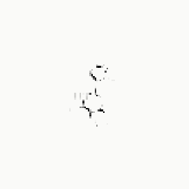 COc1c(C)[nH]c(-c2cnnn2C)nc1=O